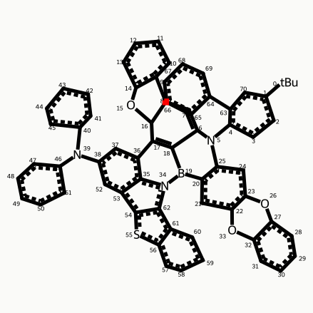 CC(C)(C)c1ccc(N2C3=CC4c5ccccc5OC4C4=C3B(c3cc5c(cc32)Oc2ccccc2O5)n2c3c4cc(N(c4ccccc4)c4ccccc4)cc3c3sc4ccccc4c32)c(-c2ccccc2)c1